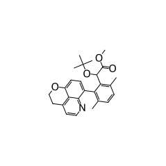 COC(=O)C(OC(C)(C)C)c1c(C)ccc(C)c1-c1ccc2c3c(ccnc13)CCO2